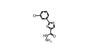 NNC(=O)c1csc(-c2cccc(Cl)c2)n1